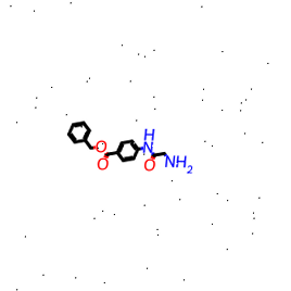 NCC(=O)Nc1ccc(C(=O)OCc2ccccc2)cc1